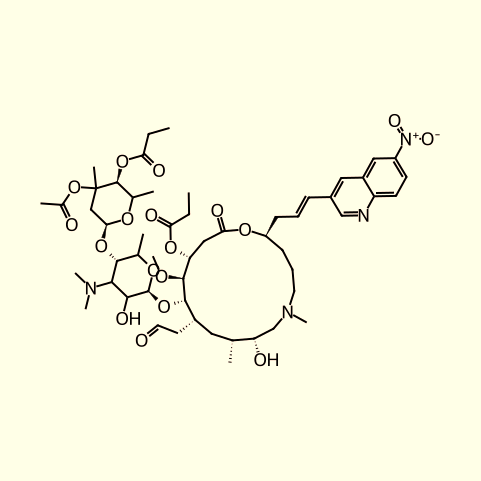 CCC(=O)O[C@@H]1CC(=O)O[C@@H](C/C=C/c2cnc3ccc([N+](=O)[O-])cc3c2)CCCN(C)C[C@H](O)[C@H](C)C[C@H](CC=O)[C@H](O[C@@H]2OC(C)[C@@H](O[C@H]3CC(C)(OC(C)=O)[C@@H](OC(=O)CC)C(C)O3)C(N(C)C)C2O)[C@H]1OC